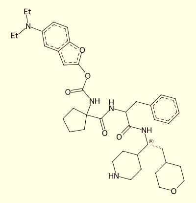 CCN(CC)c1ccc2oc(OC(=O)NC3(C(=O)NC(Cc4ccccc4)C(=O)N[C@H](CC4CCOCC4)C4CCNCC4)CCCC3)cc2c1